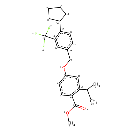 COC(=O)c1ccc(OCc2ccc(C3CCCC3)c(C(F)(F)F)c2)cc1C(C)C